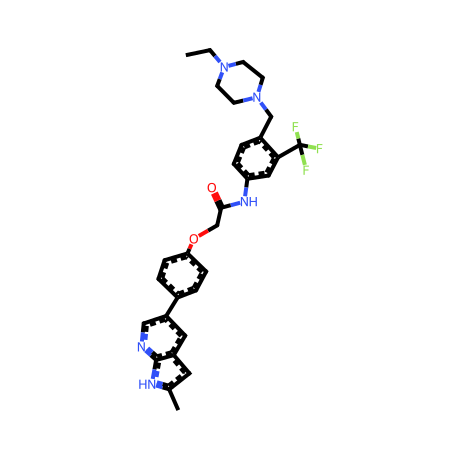 CCN1CCN(Cc2ccc(NC(=O)COc3ccc(-c4cnc5[nH]c(C)cc5c4)cc3)cc2C(F)(F)F)CC1